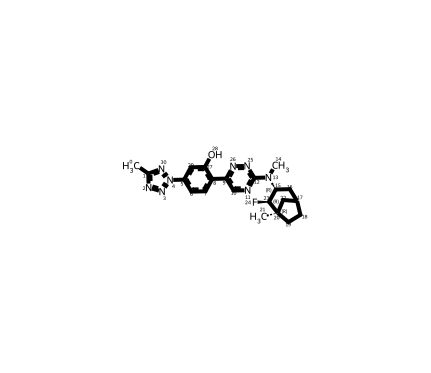 Cc1nnn(-c2ccc(-c3cnc(N(C)[C@@H]4CC5CC[C@](C)(C5)[C@H]4F)nn3)c(O)c2)n1